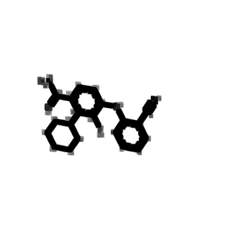 N#Cc1ccccc1Oc1ccc(C(N)=O)c(C2CCCCC2)c1F